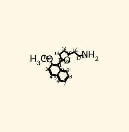 COc1ccc2ccccc2c1C1CCC(CCN)O1